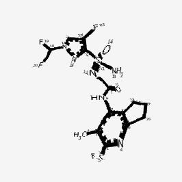 Cc1c(C(F)(F)F)nc2c(c1NC(=O)N=S(N)(=O)c1nn(C(F)F)cc1F)CCC2